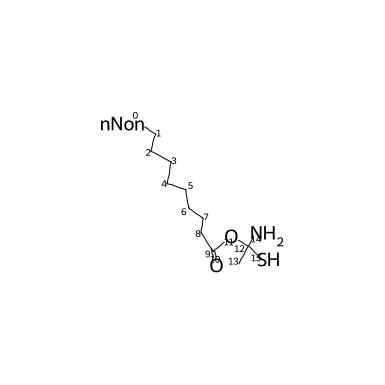 CCCCCCCCCCCCCCCCCC(=O)OC(C)(N)S